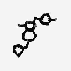 Fc1ccc(Cc2nc(Cl)c3c(n2)CCN(Cc2ccccc2)CC3)cc1